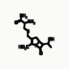 CC(O)C1C(=O)N2C(C(=O)O)=C(CSCC(N)C(N)=O)CC12